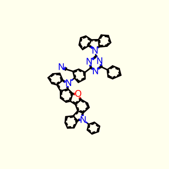 N#Cc1cc(-c2nc(-c3ccccc3)nc(-n3c4ccccc4c4ccccc43)n2)ccc1-n1c2ccccc2c2ccc3c(oc4ccc5c(c6ccccc6n5-c5ccccc5)c43)c21